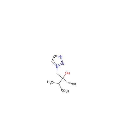 CCCCCC(O)(Cn1ccnn1)C(C)C(=O)O